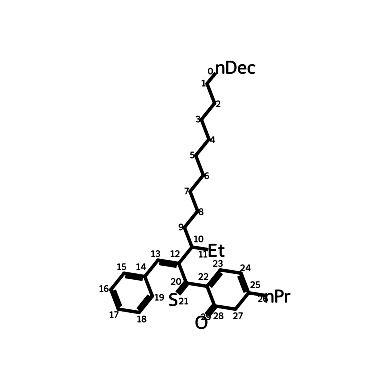 CCCCCCCCCCCCCCCCCCCC(CC)C(=Cc1ccccc1)C(=S)C1=CC=C(CCC)CC1=O